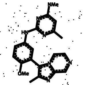 CNc1cc(C)nc(Nc2ccc(OC)c(-c3c(C)nc4cnccn34)c2)n1